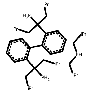 CC(C)CC(P)(CC(C)C)c1ccccc1-c1ccccc1C(P)(CC(C)C)CC(C)C.CC(C)CPCC(C)C